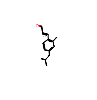 Cc1cc(CC(C)C)ccc1/C=C/C=O